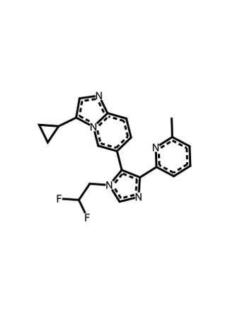 Cc1cccc(-c2ncn(CC(F)F)c2-c2ccc3ncc(C4CC4)n3c2)n1